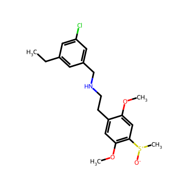 CCc1cc(Cl)cc(CNCCc2cc(OC)c([S+](C)[O-])cc2OC)c1